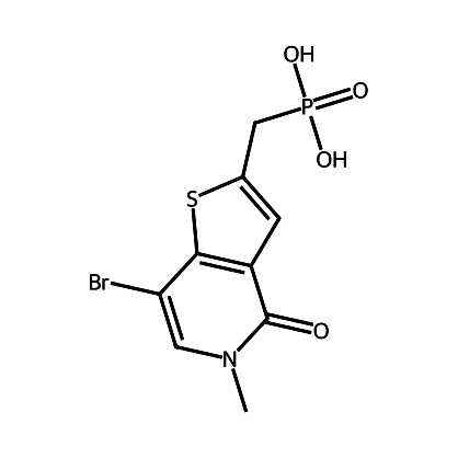 Cn1cc(Br)c2sc(CP(=O)(O)O)cc2c1=O